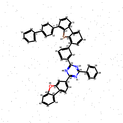 c1ccc(-c2ccc(-c3cccc4c3sc3c(-c5cccc(-c6nc(-c7ccccc7)nc(-c7ccc8c(c7)oc7ccccc78)n6)c5)cccc34)cc2)cc1